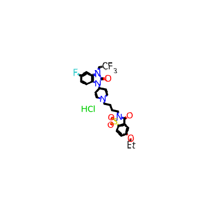 CCOc1ccc2c(c1)C(=O)N(CCCCN1CCC(n3c(=O)n(CC(F)(F)F)c4cc(F)ccc43)CC1)S2(=O)=O.Cl